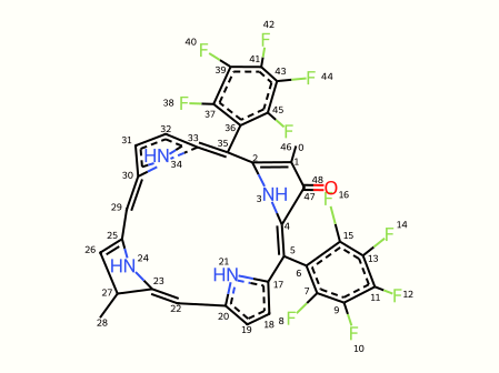 CC1=C2NC(=C(c3c(F)c(F)c(F)c(F)c3F)c3ccc([nH]3)C=C3NC(=CC3C)C=c3ccc([nH]3)=C2c2c(F)c(F)c(F)c(F)c2F)C1=O